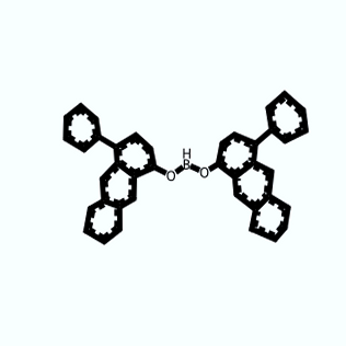 B(Oc1ccc(-c2ccccc2)c2cc3ccccc3cc12)Oc1ccc(-c2ccccc2)c2cc3ccccc3cc12